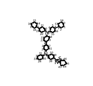 c1ccc(-c2ccc(N(c3ccc(-c4ccccc4)cc3)c3ccc(-c4ccc(N(c5ccccc5)c5ccc(-c6nc7ccccc7s6)cc5)cc4)cc3)cc2)cc1